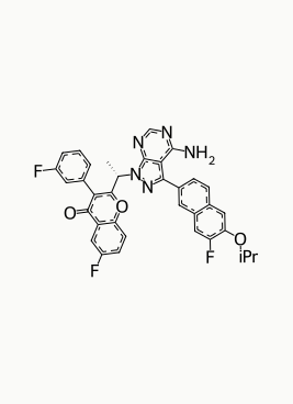 CC(C)Oc1cc2ccc(-c3nn([C@@H](C)c4oc5ccc(F)cc5c(=O)c4-c4cccc(F)c4)c4ncnc(N)c34)cc2cc1F